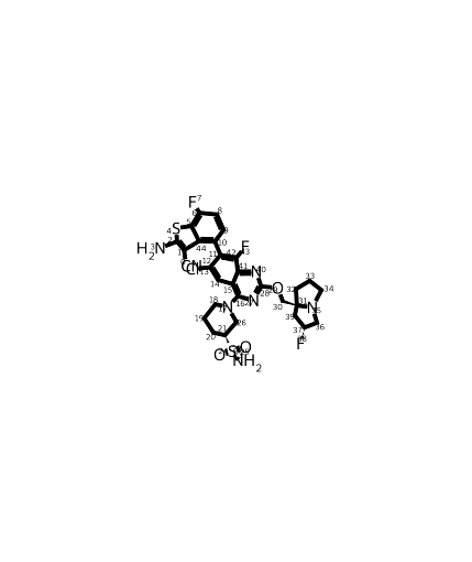 N#Cc1c(N)sc2c(F)ccc(-c3c(Cl)cc4c(N5CCC[C@@H](S(N)(=O)=O)C5)nc(OC[C@@]56CCCN5C[C@H](F)C6)nc4c3F)c12